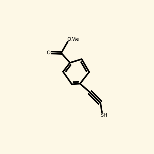 COC(=O)c1ccc(C#CS)cc1